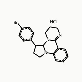 Brc1ccc(C2CCN3c4ccccc4C4=NCCCN4C23)cc1.Cl